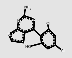 Nc1nc(-c2c(O)cc(Cl)cc2Cl)c2ccsc2n1